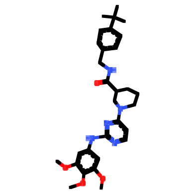 COc1cc(Nc2nccc(N3CCCC(C(=O)NCc4ccc(C(C)(C)C)cc4)C3)n2)cc(OC)c1OC